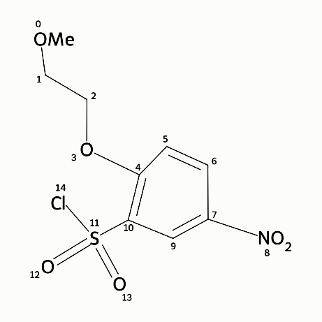 COCCOc1ccc([N+](=O)[O-])cc1S(=O)(=O)Cl